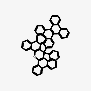 c1ccc(-c2c(-c3ccc(C4(c5ccccc5)c5c(c6ccccc6c6ccccc56)Oc5c4c4ccccc4c4ccccc54)cc3)c3ccccc3c3ccccc23)cc1